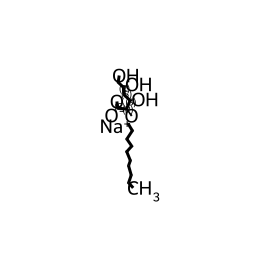 CCCCCCCCCCO[C@@H]1[C@@H](O)[C@H]([C@H](O)CO)O[C@@H]1[O-].[Na+]